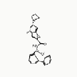 O=C(N[S+]([O-])c1ccccc1-c1ccccc1)c1cc2c(F)cc(N3CCC3)cc2o1